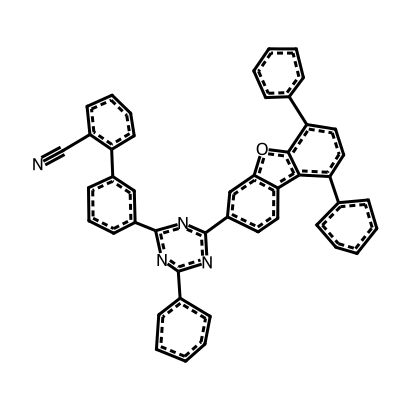 N#Cc1ccccc1-c1cccc(-c2nc(-c3ccccc3)nc(-c3ccc4c(c3)oc3c(-c5ccccc5)ccc(-c5ccccc5)c34)n2)c1